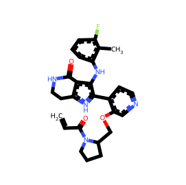 C=CC(=O)N1CCCC1COc1cnccc1-c1[nH]c2c(c1Nc1cccc(F)c1C)C(=O)NCC2